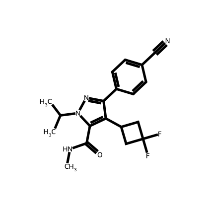 CNC(=O)c1c(C2CC(F)(F)C2)c(-c2ccc(C#N)cc2)nn1C(C)C